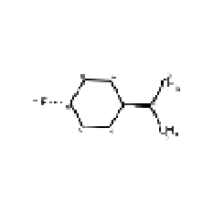 CC(C)[C@H]1CC[C@H](F)CC1